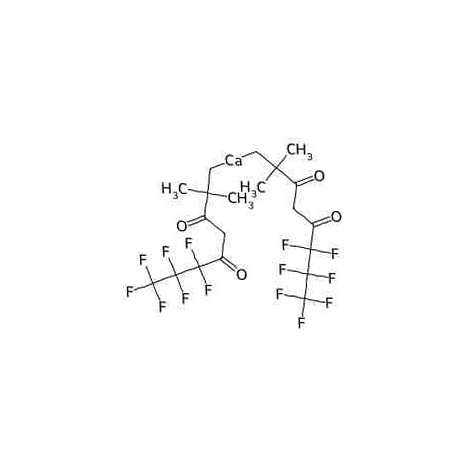 CC(C)([CH2][Ca][CH2]C(C)(C)C(=O)CC(=O)C(F)(F)C(F)(F)C(F)(F)F)C(=O)CC(=O)C(F)(F)C(F)(F)C(F)(F)F